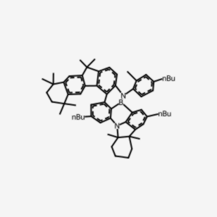 CCCCc1ccc(N2B3c4cc(CCCC)cc5c4N(c4cc(CCCC)cc(c43)-c3c2ccc2c3-c3cc4c(cc3C2(C)C)C(C)(C)CCC4(C)C)C2(C)CCCCC52C)c(C)c1